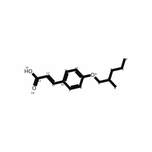 CCCC(C)COc1ccc(C=CC(=O)O)cc1